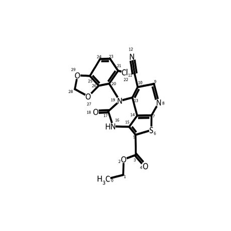 CCOC(=O)c1sc2ncc(C#N)c3c2c1NC(=O)N3c1c(Cl)ccc2c1OCO2